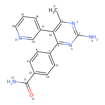 Cc1nc(N)nc(-c2ccc(C(N)=O)cc2)c1-c1cccnc1